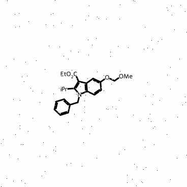 CCOC(=O)c1c(C(C)C)n(Cc2ccccc2)c2ccc(OCOC)cc12